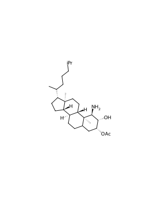 CC(=O)O[C@@H]1CC2CC[C@H]3[C@@H]4CC[C@H](C(C)CCCC(C)C)[C@@]4(C)CC[C@@H]3[C@@]2(C)[C@@H](N)[C@@H]1O